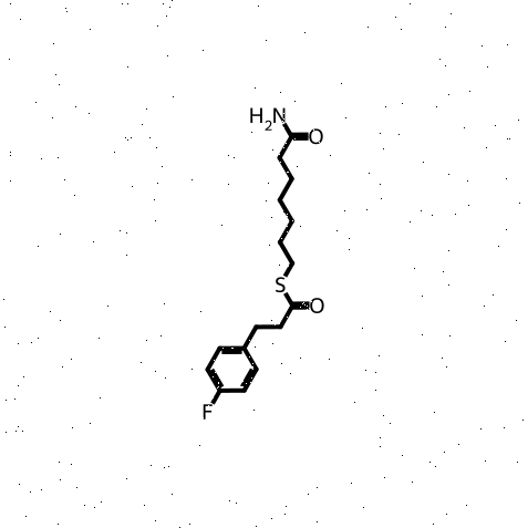 NC(=O)CCCCCCSC(=O)CCc1ccc(F)cc1